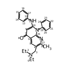 CCN(CC)Cc1cc2c(=O)cc(Nc3ccccc3)n(-c3ccccc3)c2nc1C